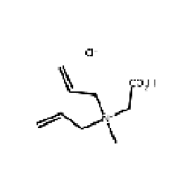 C=CC[N+](C)(CC=C)CC(=O)O.[Cl-]